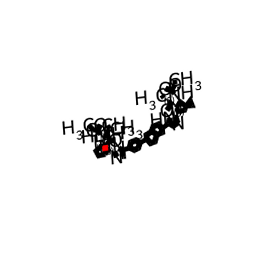 CC[C@H](NC(=O)OC)C(=O)N1CC2(CC2)C[C@H]1c1ncc(-c2ccc3cc(-c4ccc(-c5cnc([C@@H]6C7CC[C@H](C7)N6C(=O)[C@@H](NC(=O)OC)C(C)C)[nH]5)cc4)ccc3c2)[nH]1